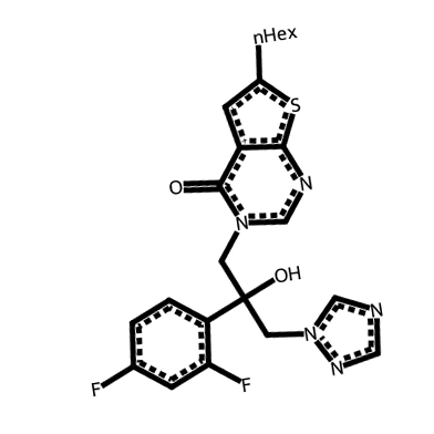 CCCCCCc1cc2c(=O)n(CC(O)(Cn3cncn3)c3ccc(F)cc3F)cnc2s1